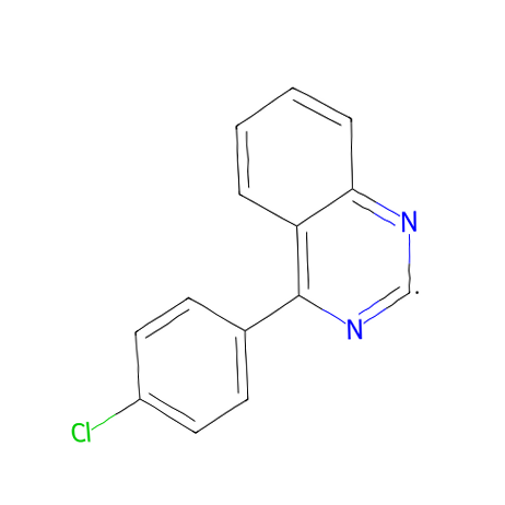 Clc1ccc(-c2n[c]nc3ccccc23)cc1